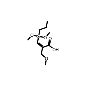 CCC[Si](C=C(COC)C(=O)O)(OC)OC